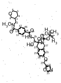 CN(CC1CCCOC1)C(=O)c1ccc(C(=O)NC[C@@H](O)[C@@]2(O)Cc3ccc(OCc4cnco4)cc3CN2C(=O)OC(C)(C)C)cc1